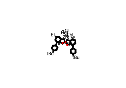 CCc1cc(-c2ccc(C(C)(C)C)cc2)c2c(c1)[CH]([Zr]([CH3])([CH3])(=[SiH2])[CH]1C(C(C)C)=Cc3c(-c4ccc(C(C)(C)C)cc4)cccc31)C(C)=C2.Cl.Cl